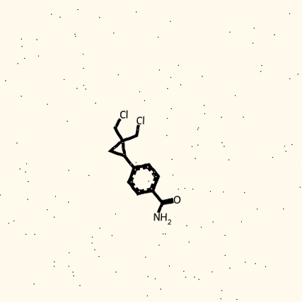 NC(=O)c1ccc(C2CC2(CCl)CCl)cc1